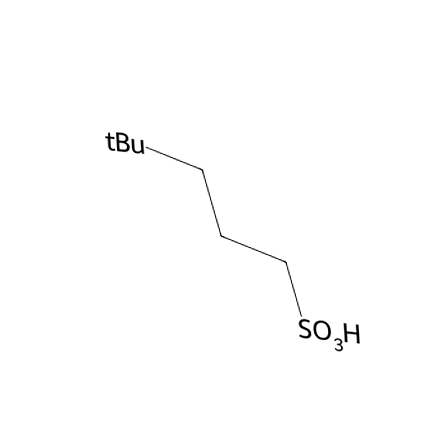 CC(C)(C)CCCS(=O)(=O)O